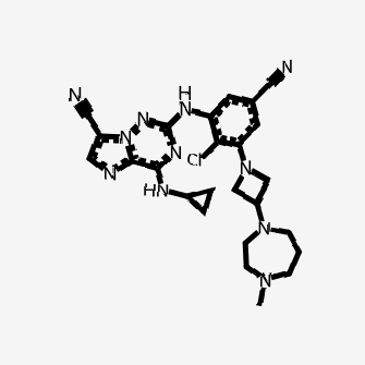 CN1CCCN(C2CN(c3cc(C#N)cc(Nc4nc(NC5CC5)c5ncc(C#N)n5n4)c3Cl)C2)CC1